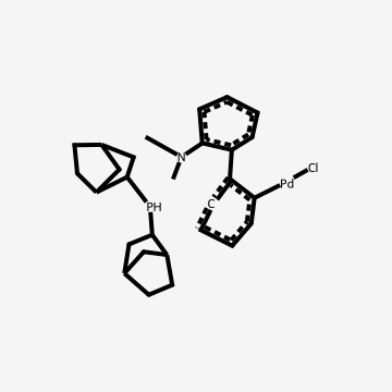 C1CC2CC1CC2PC1CC2CCC1C2.CN(C)c1ccccc1-c1cccc[c]1[Pd][Cl]